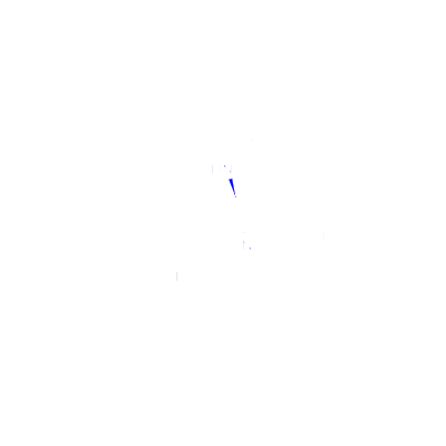 Cl.O=C(O)N[C@H]1C[C@H]2CC[C@H](N2)[C@@H]1F